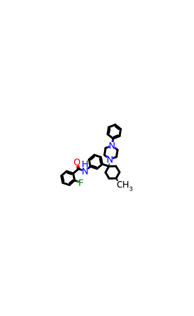 C[C@H]1CC[C@](c2cccc(NC(=O)c3ccccc3F)c2)(N2CCN(c3ccccc3)CC2)CC1